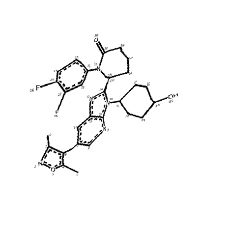 Cc1noc(C)c1-c1cnc2c(c1)nc([C@@H]1CCCC(=O)N1c1ccc(F)c(F)c1)n2C1CCC(O)CC1